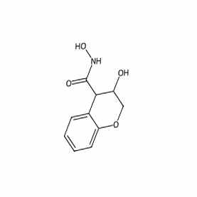 O=C(NO)C1c2ccccc2OCC1O